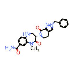 CN1C(=O)[C@@H](N2CCc3cn(Cc4ccccc4)nc3C2=O)CNc2ccc(C(N)=O)cc21